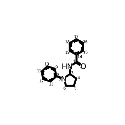 O=C(NC1CCCN1c1ccccc1)c1ccccc1